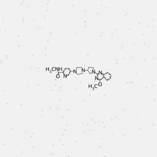 CNC(=O)c1ccc(N2CCN(C3CCN(c4nc(OC)c5ccccc5n4)C3)CC2)cn1